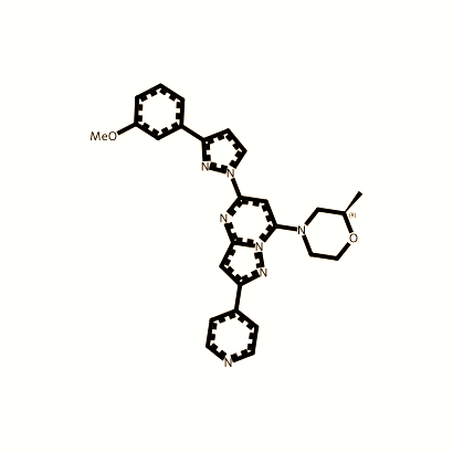 COc1cccc(-c2ccn(-c3cc(N4CCO[C@H](C)C4)n4nc(-c5ccncc5)cc4n3)n2)c1